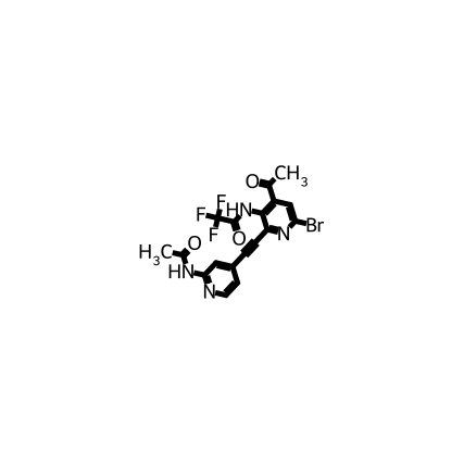 CC(=O)Nc1cc(C#Cc2nc(Br)cc(C(C)=O)c2NC(=O)C(F)(F)F)ccn1